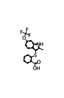 Cc1[nH]c2cc(OC(F)(F)F)ccc2c1Sc1ccccc1C(=O)O